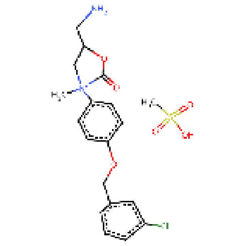 CS(=O)(=O)O.C[N+]1(c2ccc(OCc3cccc(Cl)c3)cc2)CC(CN)OC1=O